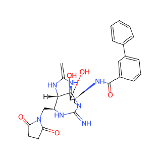 C=C1N[C@H]2[C@H](CN3C(=O)CCC3=O)NC(=N)N3C[C@H](NC(=O)c4cccc(-c5ccccc5)c4)C(O)(O)[C@]23N1